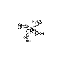 Cc1cc(O)cc(C)c1C[C@H](NC(=O)[C@H](C)CCCn1ccnc1N)C(=O)N[C@@H](CCCNC(=O)OC(C)(C)C)c1nc(CC23CC4CC(CC(C4)C2)C3)no1